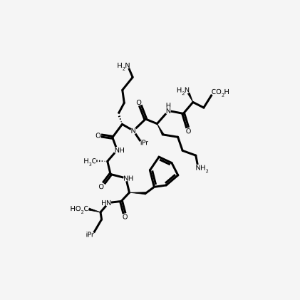 CC(C)C[C@H](NC(=O)[C@H](Cc1ccccc1)NC(=O)[C@H](C)NC(=O)[C@H](CCCCN)N(C(=O)[C@H](CCCCN)NC(=O)[C@@H](N)CC(=O)O)C(C)C)C(=O)O